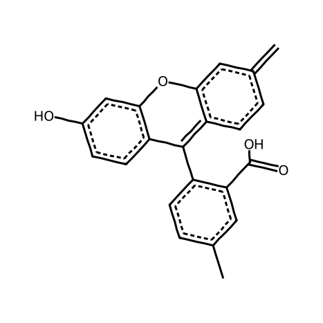 C=c1ccc2c(c1)Oc1cc(O)ccc1C=2c1ccc(C)cc1C(=O)O